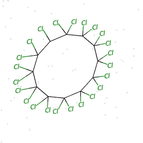 ClC1C(Cl)(Cl)C(Cl)(Cl)C(Cl)(Cl)C(Cl)(Cl)C(Cl)(Cl)C(Cl)(Cl)C(Cl)(Cl)C(Cl)(Cl)C(Cl)(Cl)C(Cl)(Cl)C1(Cl)Cl